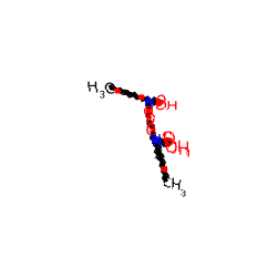 CCCCCCCCCCCCN(CCOCCOCCOCCN(CCCCCCCCCCCC)CCC(=O)O)CCC(=O)O